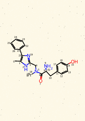 Cc1[nH]c(CN(C(=O)[C@@H](N)Cc2ccc(O)cc2)C(C)C)nc1-c1ccccc1